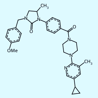 COc1ccc(CN2CC(C)N(c3ccc(C(=O)N4CCN(c5ncc(C6CC6)cc5C)CC4)cc3)C2=O)cc1